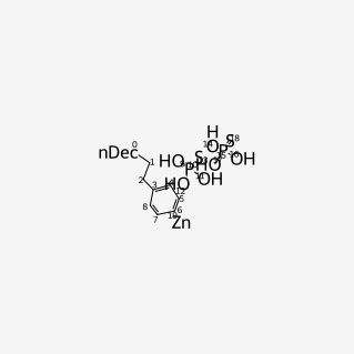 CCCCCCCCCCCCc1ccccc1.OP(O)(O)=S.OP(O)(O)=S.[Zn]